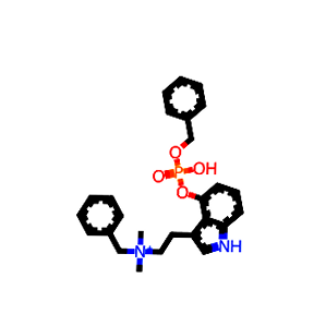 C[N+](C)(CCc1c[nH]c2cccc(OP(=O)(O)OCc3ccccc3)c12)Cc1ccccc1